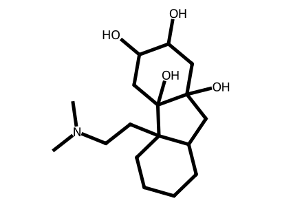 CN(C)CCC12CCCCC1CC1(O)CC(O)C(O)CC12O